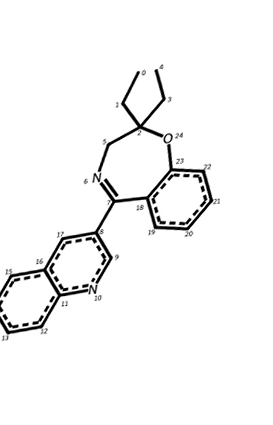 CCC1(CC)CN=C(c2cnc3ccccc3c2)c2ccccc2O1